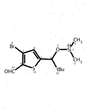 C[SiH](C)OC(c1cc(Br)c(C=O)s1)C(C)(C)C